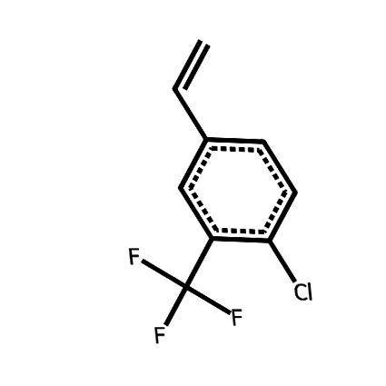 C=Cc1ccc(Cl)c(C(F)(F)F)c1